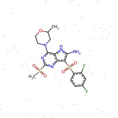 CC1CN(c2nc(S(C)(=O)=O)nc3c(S(=O)(=O)c4ccc(F)cc4F)c(N)[nH]c23)CCO1